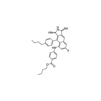 CCCCOC(=O)c1ccc(Nc2cc(F)cc3cc4c(c(-c5ccc(CCCC)cc5)c23)C(=N)NC4=N)cc1